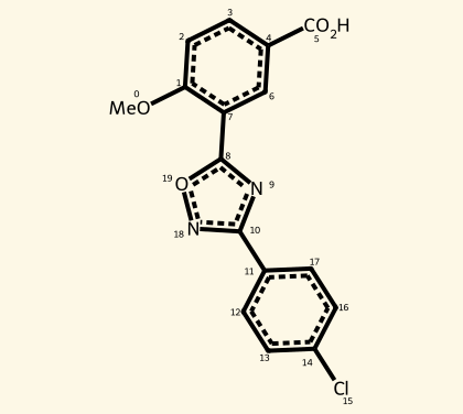 COc1ccc(C(=O)O)cc1-c1nc(-c2ccc(Cl)cc2)no1